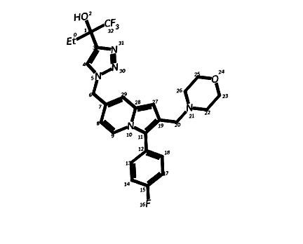 CCC(O)(c1cn(Cc2ccn3c(-c4ccc(F)cc4)c(CN4CCOCC4)cc3c2)nn1)C(F)(F)F